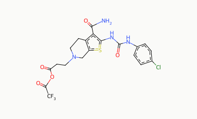 NC(=O)c1c(NC(=O)Nc2ccc(Cl)cc2)sc2c1CCN(CCC(=O)OC(=O)C(F)(F)F)C2